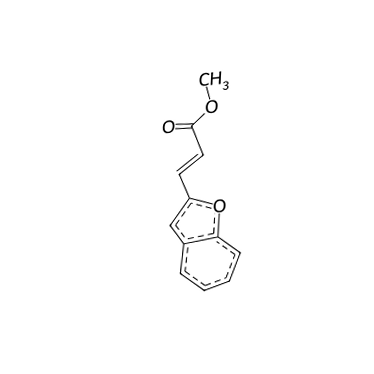 COC(=O)C=Cc1cc2ccccc2o1